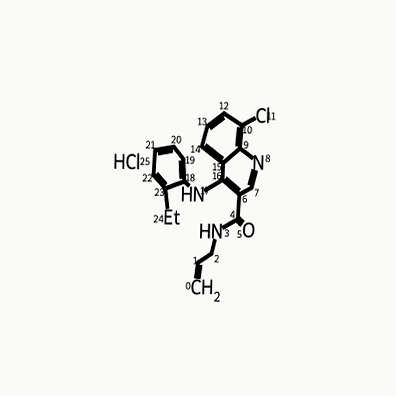 C=CCNC(=O)c1cnc2c(Cl)cccc2c1Nc1ccccc1CC.Cl